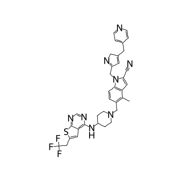 Cc1c(CN2CCC(Nc3ncnc4sc(CC(F)(F)F)cc34)CC2)ccc2c1cc(C#N)n2CC1=NCC(Cc2ccncc2)=C1